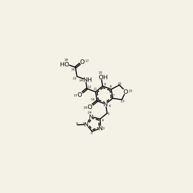 Cn1cnc(Cn2c3c(c(O)c(C(=O)NCC(=O)O)c2=O)COC3)n1